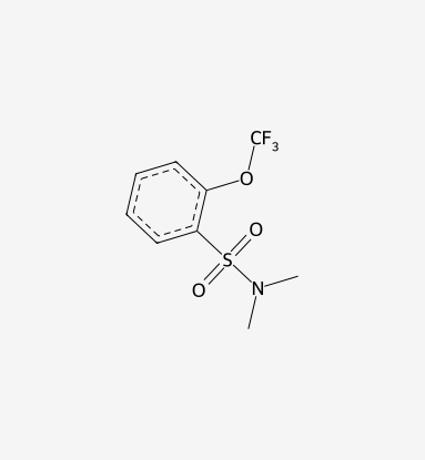 CN(C)S(=O)(=O)c1ccccc1OC(F)(F)F